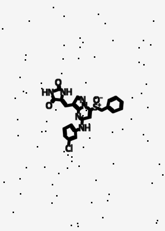 O=C1NC(=O)C(=Cc2cnn3c([S+]([O-])Cc4ccccc4)cc(Nc4cccc(Cl)c4)nc23)N1